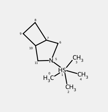 C[SH](C)(C)(C)N1CC2CCC2C1